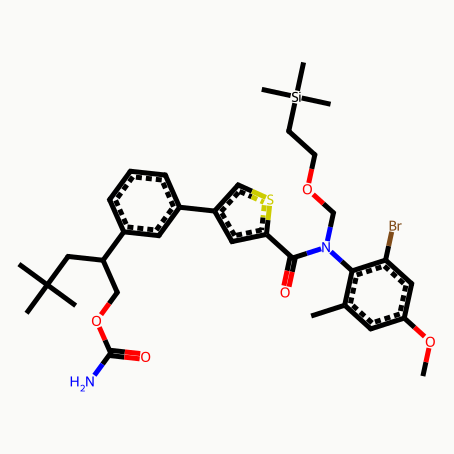 COc1cc(C)c(N(COCC[Si](C)(C)C)C(=O)c2cc(-c3cccc(C(COC(N)=O)CC(C)(C)C)c3)cs2)c(Br)c1